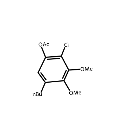 CCCCc1cc(OC(C)=O)c(Cl)c(OC)c1OC